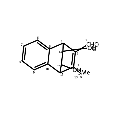 CSC1=C(C=O)C2c3ccccc3C1C(O)C2O